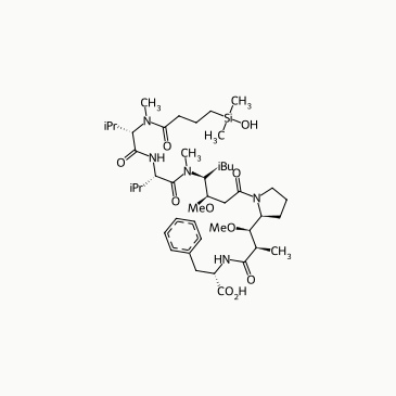 CC[C@H](C)[C@@H]([C@@H](CC(=O)N1CCC[C@H]1[C@H](OC)[C@@H](C)C(=O)N[C@@H](Cc1ccccc1)C(=O)O)OC)N(C)C(=O)[C@@H](NC(=O)[C@H](C(C)C)N(C)C(=O)CCC[Si](C)(C)O)C(C)C